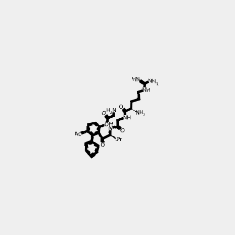 CC(=O)c1ccc(OC(=O)CN)c(C(=O)[C@@H](NC(=O)CNC(=O)[C@@H](N)CCCNC(=N)N)C(C)C)c1-c1ccccc1